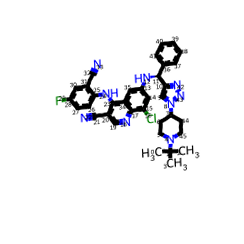 CC(C)(C)N1CCC(n2cc([C@@H](Nc3cc(Cl)c4ncc(C#N)c(Nc5ccc(F)cc5C#N)c4c3)c3ccccc3)nn2)CC1